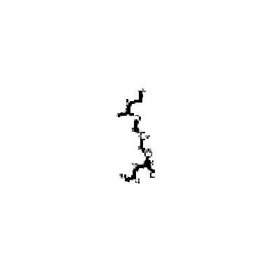 CCCC(C)OCOCOC(C)CCC